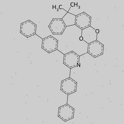 CC1(C)c2ccccc2-c2c1ccc1c2Oc2c(cccc2-c2cc(-c3ccc(-c4ccccc4)cc3)cc(-c3ccc(-c4ccccc4)cc3)n2)O1